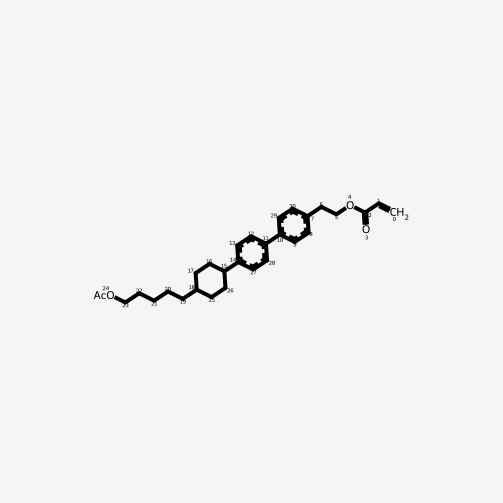 C=CC(=O)OCCc1ccc(-c2ccc(C3CCC(CCCCCOC(C)=O)CC3)cc2)cc1